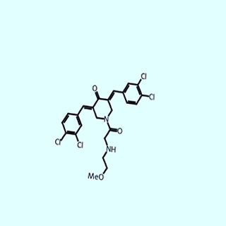 COCCNCC(=O)N1C/C(=C\c2ccc(Cl)c(Cl)c2)C(=O)/C(=C/c2ccc(Cl)c(Cl)c2)C1